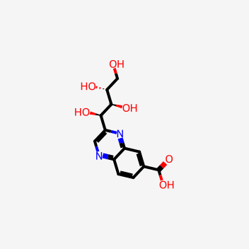 O=C(O)c1ccc2ncc([C@@H](O)[C@H](O)[C@H](O)CO)nc2c1